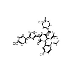 CCOc1ccc(Cl)cc1-n1c(C=C(C)C)c(C(=O)N2CCN[C@@H](C)C2)cc(-c2nc(-c3ccc(Cl)cc3)cs2)c1=O